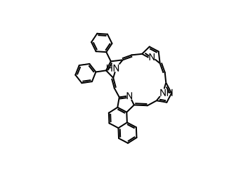 C1=Cc2cc3[nH]c(cc4nc(cc5ccc(cc1n2)[nH]5)-c1c-4ccc2ccccc12)c(-c1ccccc1)c3-c1ccccc1